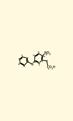 O=C(O)Cc1nc(Sc2ccccc2)ccc1[N+](=O)[O-]